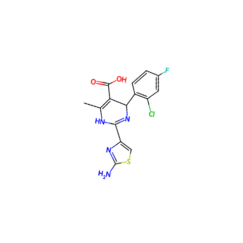 CC1=C(C(=O)O)C(c2ccc(F)cc2Cl)N=C(c2csc(N)n2)N1